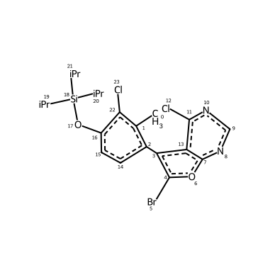 Cc1c(-c2c(Br)oc3ncnc(Cl)c23)ccc(O[Si](C(C)C)(C(C)C)C(C)C)c1Cl